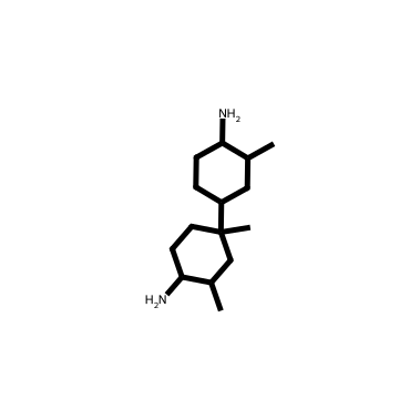 CC1CC(C2(C)CCC(N)C(C)C2)CCC1N